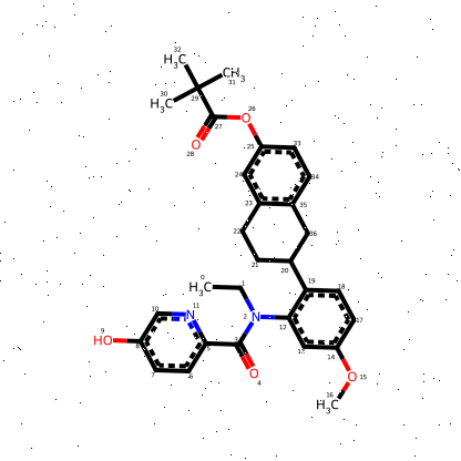 CCN(C(=O)c1ccc(O)cn1)c1cc(OC)ccc1C1CCc2cc(OC(=O)C(C)(C)C)ccc2C1